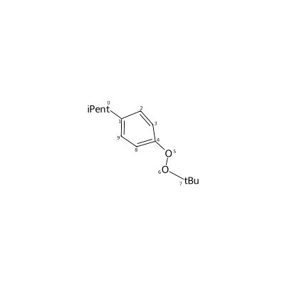 CCCC(C)c1ccc(OOC(C)(C)C)cc1